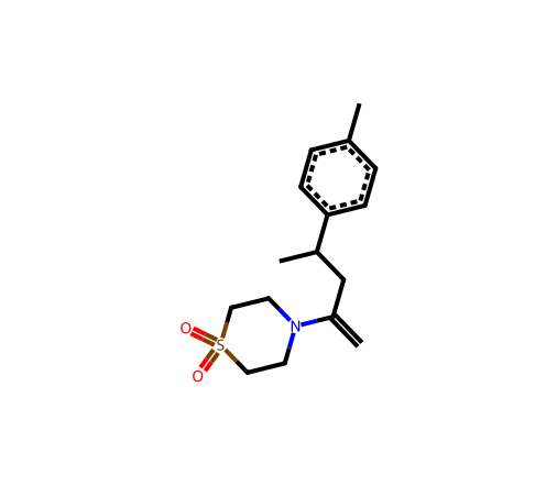 C=C(CC(C)c1ccc(C)cc1)N1CCS(=O)(=O)CC1